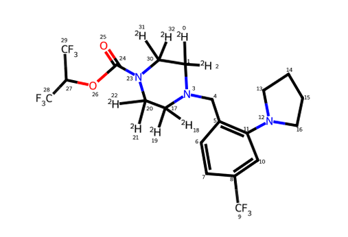 [2H]C1([2H])N(Cc2ccc(C(F)(F)F)cc2N2CCCC2)C([2H])([2H])C([2H])([2H])N(C(=O)OC(C(F)(F)F)C(F)(F)F)C1([2H])[2H]